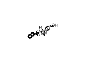 Cc1nc(Nc2ncc(-c3ccc4ccccc4c3)s2)nc(N2CCN(CCO)CC2)n1